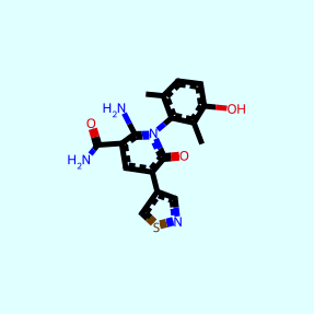 Cc1ccc(O)c(C)c1-n1c(N)c(C(N)=O)cc(-c2cnsc2)c1=O